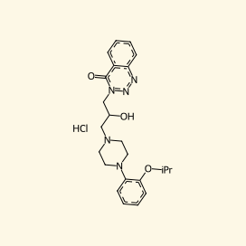 CC(C)Oc1ccccc1N1CCN(CC(O)Cn2nnc3ccccc3c2=O)CC1.Cl